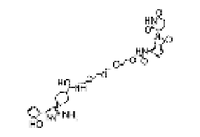 Nc1nnc(-c2ccccc2O)cc1N1CCC(C(O)NCCOCCOCCOCCOCC(=O)Nc2cccc3c2CN(C2CCC(=O)NC2=O)C3=O)CC1